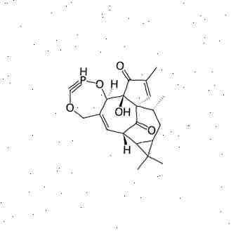 CC1=C[C@]23C(=O)[C@@H](C=C4COC#[PH]O[C@H]4[C@]2(O)C1=O)C1C(C[C@H]3C)C1(C)C